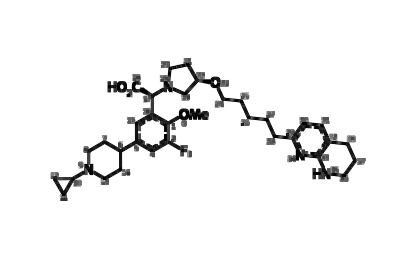 COc1c(F)cc(C2CCN(C3CC3)CC2)cc1[C@@H](C(=O)O)N1CC[C@@H](OCCCCCc2ccc3c(n2)NCCC3)C1